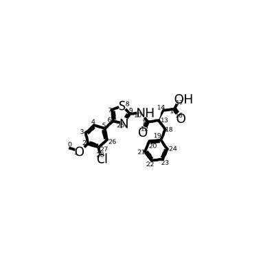 COc1ccc(-c2csc(NC(=O)[C@@H](CC(=O)O)Cc3ccccc3)n2)cc1Cl